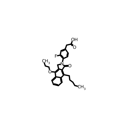 CCCCCc1c2c(c(OCCC)c3ccccc13)CN(c1ccc(CC(=O)O)cc1F)C2=O